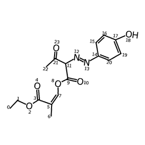 CCOC(=O)C(C)=COC(=O)C(N=Nc1ccc(O)cc1)C(C)=O